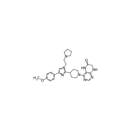 COc1ccc(-c2cn(CCN3CCCC3)c(C3CCN(c4ncnc5c4NC(=O)CN5)CC3)n2)cc1